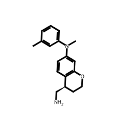 Cc1cccc(N(C)c2ccc3c(c2)OCC[C@H]3CN)c1